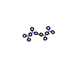 C1=CC(N(c2ccccc2)c2ccc(N(C3=CC=C(c4ccc(N(c5ccccc5)c5ccc(N(c6ccccc6)c6ccccc6)cc5)cc4)CC3)c3ccccc3)cc2)=CCC1